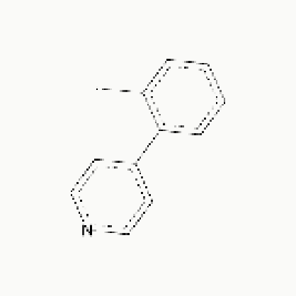 [CH2]c1ccccc1-c1ccncc1